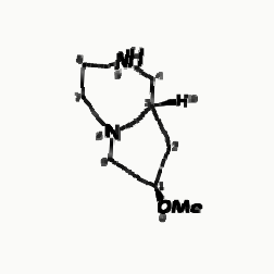 CO[C@@H]1C[C@H]2CNCCN2C1